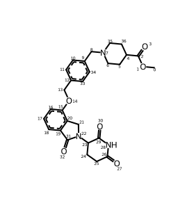 COC(=O)C1CCN(Cc2ccc(COc3cccc4c3CN(C3CCC(=O)NC3=O)C4=O)cc2)CC1